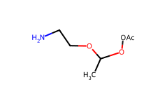 CC(=O)OOC(C)OCCN